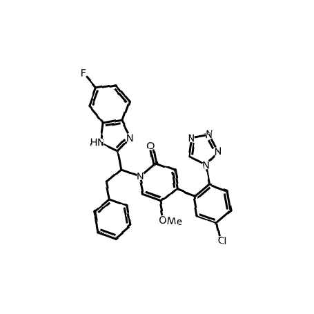 COc1cn(C(Cc2ccccc2)c2nc3ccc(F)cc3[nH]2)c(=O)cc1-c1cc(Cl)ccc1-n1cnnn1